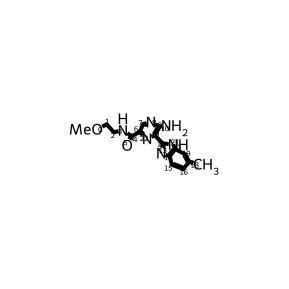 COCCNC(=O)c1cnc(N)c(-c2nc3ccc(C)cc3[nH]2)n1